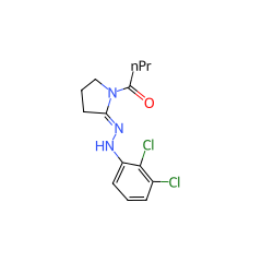 CCCC(=O)N1CCCC1=NNc1cccc(Cl)c1Cl